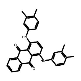 Cc1ccc(Nc2ccc(Nc3ccc(C)c(C)c3)c3c2C(=O)c2ccccc2C3=O)cc1C